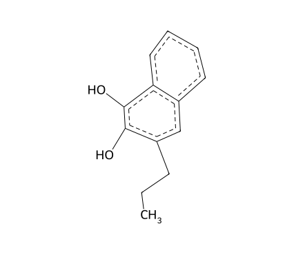 CCCc1cc2ccccc2c(O)c1O